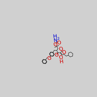 CC(C)(CC(Cc1ccc(OCc2ccccc2)cc1)C(=O)C1=C(O)C(CC2CCCCC2)OC1=O)OC(N)=O